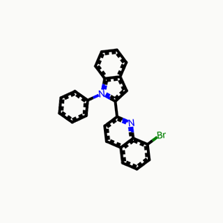 Brc1cccc2ccc(-c3cc4ccccc4n3-c3ccccc3)nc12